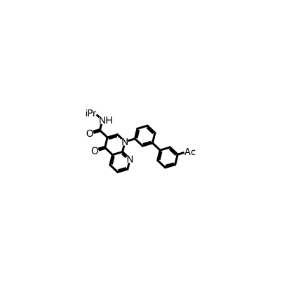 CC(=O)c1cccc(-c2cccc(-n3cc(C(=O)NC(C)C)c(=O)c4cccnc43)c2)c1